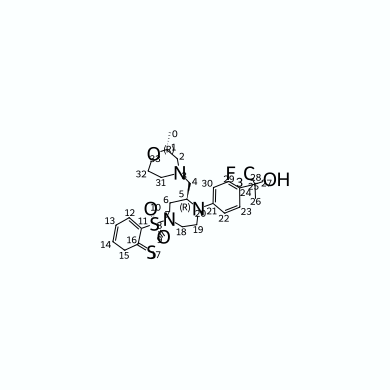 C[C@@H]1CN(C[C@@H]2CN(S(=O)(=O)C3=CC=CCC3=S)CCN2c2ccc(C(C)(O)C(F)(F)F)cc2)CCO1